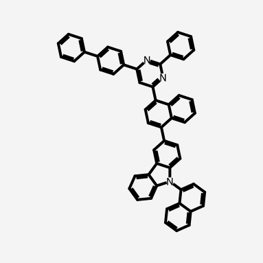 c1ccc(-c2ccc(-c3cc(-c4ccc(-c5ccc6c(c5)c5ccccc5n6-c5cccc6ccccc56)c5ccccc45)nc(-c4ccccc4)n3)cc2)cc1